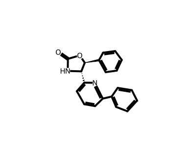 O=C1N[C@@H](c2cccc(-c3ccccc3)n2)[C@H](c2ccccc2)O1